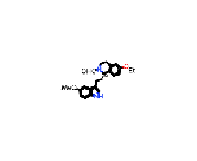 CCOc1ccc2c(c1)CCN(C=O)[C@H]2CCc1c[nH]c2ccc(OC)cc12